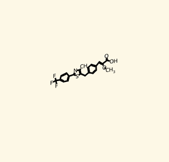 COC(=Cc1ccc(Cc2sc(-c3ccc(C(F)(F)F)cc3)nc2C)cc1)C(=O)O